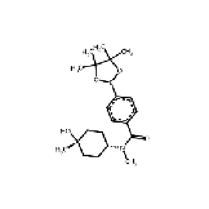 CN(C(=O)c1ccc(B2OC(C)(C)C(C)(C)O2)cc1)[C@H]1CC[C@@](C)(O)CC1